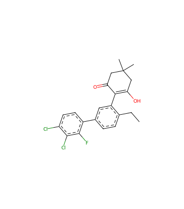 CCc1ccc(-c2ccc(Cl)c(Cl)c2F)cc1C1=C(O)CC(C)(C)CC1=O